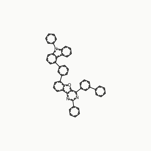 c1ccc(-c2cccc(-c3nc(-c4ccccc4)nc4c3oc3c(-c5cccc(-c6cccc7c6c6ccccc6n7-c6ccccc6)c5)cccc34)c2)cc1